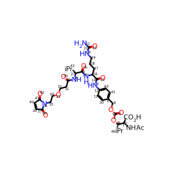 CC(=O)N[C@H](C(=O)O)[C@H](OC(=O)OCc1ccc(NC(=O)C(CCCNC(N)=O)NC(=O)C(NC(=O)CCOCCN2C(=O)C=CC2=O)C(C)C)cc1)C(C)C